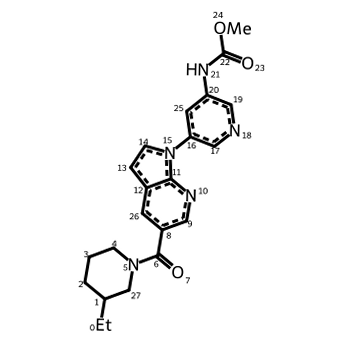 CCC1CCCN(C(=O)c2cnc3c(ccn3-c3cncc(NC(=O)OC)c3)c2)C1